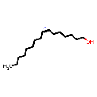 CCCCCCCC/C=C\CCCCCCO